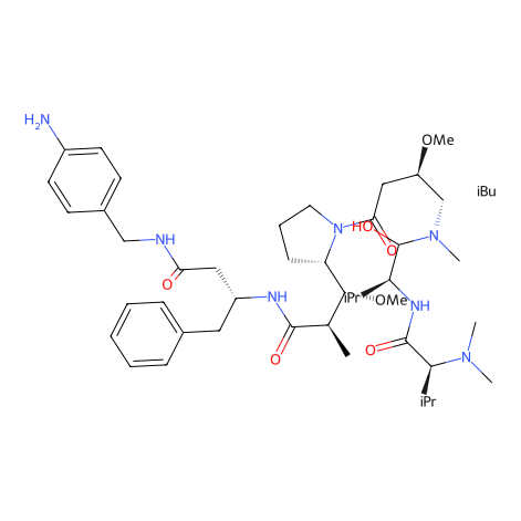 CC[C@H](C)[C@@H]([C@@H](CC(=O)N1CCC[C@H]1[C@H](OC)[C@@H](C)C(=O)N[C@@H](CC(=O)NCc1ccc(N)cc1)Cc1ccccc1)OC)N(C)C(O)[C@@H](NC(=O)[C@H](C(C)C)N(C)C)C(C)C